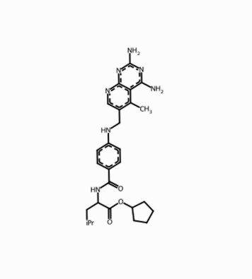 Cc1c(CNc2ccc(C(=O)NC(CC(C)C)C(=O)OC3CCCC3)cc2)cnc2nc(N)nc(N)c12